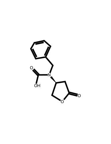 O=C1C[C@H](N(Cc2ccccc2)C(=O)O)CO1